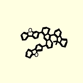 CC1(C)c2ccccc2-c2cccc(-c3c4cccc(-c5ccc6c(c5)oc5ccccc56)c4cc4c(-c5ccc6c(c5)oc5ccccc56)cccc34)c21